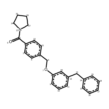 O=C(c1ccc(COc2cccc(Cc3ccccc3)c2)cc1)N1CCCC1